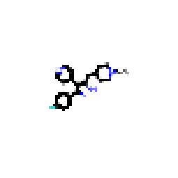 CN1CCC(Cc2[nH]nc(-c3ccc(F)cc3)c2-c2ccncc2)CC1